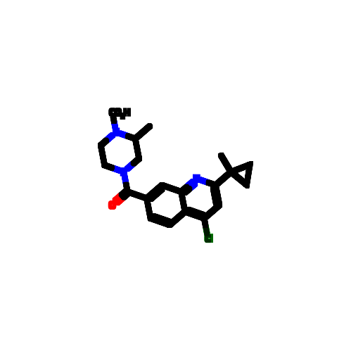 CC1CN(C(=O)c2ccc3c(Cl)cc(C4(C)CC4)nc3c2)CCN1C(=O)O